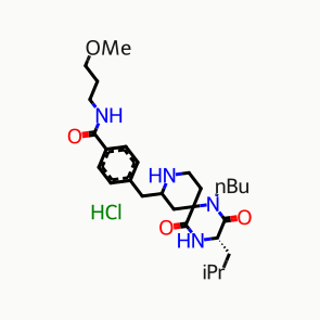 CCCCN1C(=O)[C@H](CC(C)C)NC(=O)C12CCNC(Cc1ccc(C(=O)NCCCOC)cc1)C2.Cl